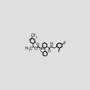 CC(OC(=O)NCc1ccccc1-c1ccccc1C(=O)NCc1ccc(F)cc1F)c1ccc(C(F)(F)F)cc1